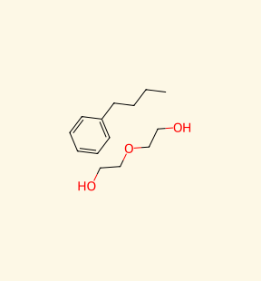 CCCCc1ccccc1.OCCOCCO